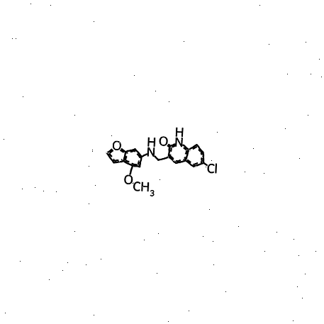 COc1cc(NCc2cc3cc(Cl)ccc3[nH]c2=O)cc2occc12